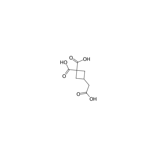 O=C(O)CC1CC(C(=O)O)(C(=O)O)C1